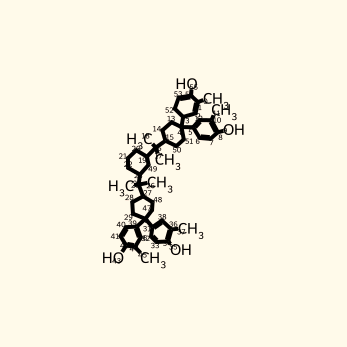 CC1=CC(C2(c3ccc(O)c(C)c3)CCC(C(C)(C)C3CCCC(C(C)(C)C4CCC(c5ccc(O)c(C)c5)(c5ccc(O)c(C)c5)CC4)C3)CC2)CC=C1O